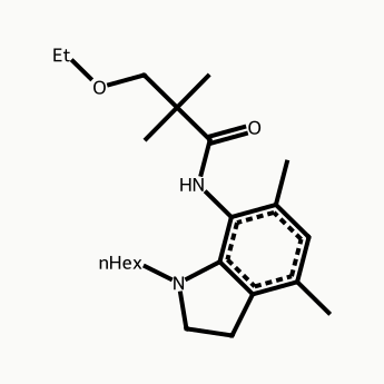 CCCCCCN1CCc2c(C)cc(C)c(NC(=O)C(C)(C)COCC)c21